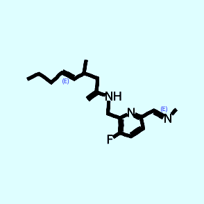 C=C(CC(C)/C=C/CCC)NCc1nc(/C=N/C)ccc1F